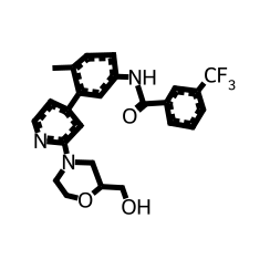 Cc1ccc(NC(=O)c2cccc(C(F)(F)F)c2)cc1-c1ccnc(N2CCOC(CO)C2)c1